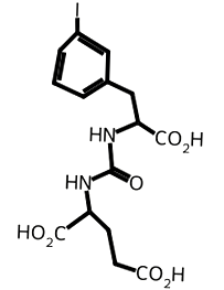 O=C(O)CCC(NC(=O)NC(Cc1cccc(I)c1)C(=O)O)C(=O)O